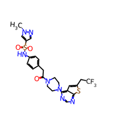 Cn1cc(S(=O)(=O)Nc2ccc(CC(=O)N3CCN(c4ncnc5sc(CC(F)(F)F)cc45)CC3)cc2)cn1